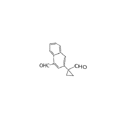 O=Cc1cc(C2(C=O)CC2)cc2ccccc12